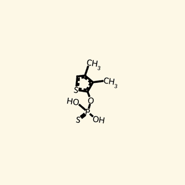 Cc1csc(OP(O)(O)=S)c1C